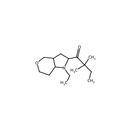 CCN1C(C(=O)C(C)(C)CC)CC2COCCC21